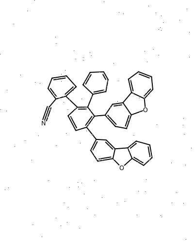 N#Cc1ccccc1-c1ccc(-c2ccc3oc4ccccc4c3c2)c(-c2ccc3oc4ccccc4c3c2)c1-c1ccccc1